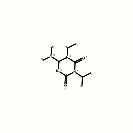 CCN1C(=O)N(C(C)C)C(=O)NC1N(C)C